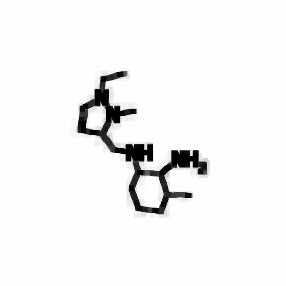 CCN1C=CC(CNC2CCCC(C)C2N)N1C